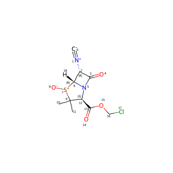 [C-]#[N+][C@@H]1C(=O)N2[C@@H]1[S+]([O-])C(C)(C)[C@@H]2C(=O)OCCl